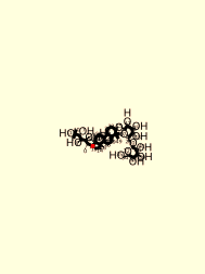 C[C@H]([C@H](O)[C@@H](O)[C@@H](O)C(C)(C)O)[C@H]1CC[C@@]2(C)[C@@H]3CC=C4[C@@H](CC[C@H](O[C@@H]5O[C@H](CO[C@@H]6O[C@H](CO)[C@@H](O)[C@H](O)[C@H]6O)[C@@H](O)[C@H](O)[C@H]5O)C4(C)C)[C@]3(C)CC[C@]12C